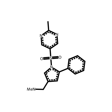 CNCc1cc(-c2ccccc2)n(S(=O)(=O)c2cnc(C)nc2)c1